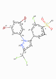 CS(=O)(=O)c1ccc(-c2cc(C(F)F)nn2-c2cc(Br)cc(Br)c2)cc1F